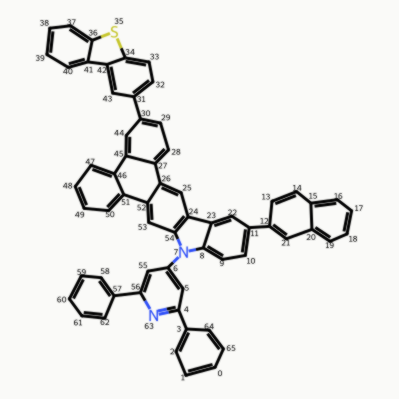 c1ccc(-c2cc(-n3c4ccc(-c5ccc6ccccc6c5)cc4c4cc5c6ccc(-c7ccc8sc9ccccc9c8c7)cc6c6ccccc6c5cc43)cc(-c3ccccc3)n2)cc1